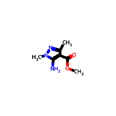 COC(=O)c1c(C)nn(C)c1N